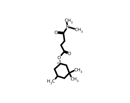 CC1C[C@H](OC(=O)CCC(=O)N(C)C)CC(C)(C)C1